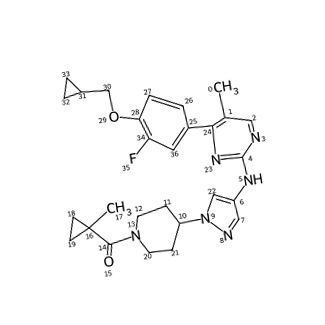 Cc1cnc(Nc2cnn(C3CCN(C(=O)C4(C)CC4)CC3)c2)nc1-c1ccc(OCC2CC2)c(F)c1